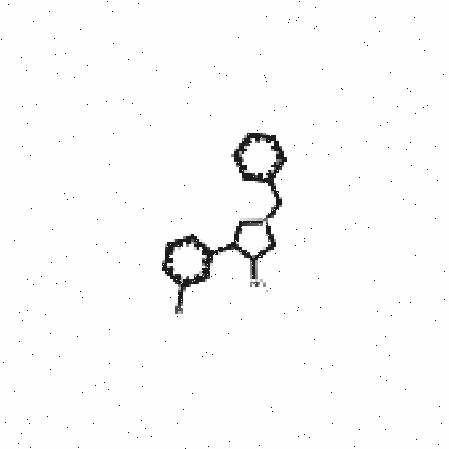 O=[N+]([O-])C1CN(Cc2ccccc2)CC1c1cccc(Br)c1